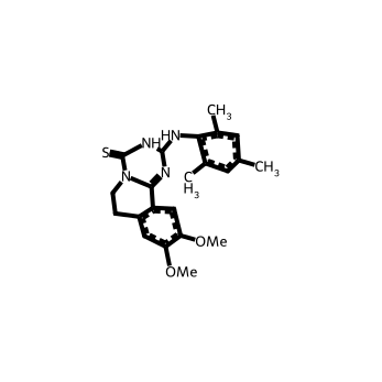 COc1cc2c(cc1OC)C1=NC(Nc3c(C)cc(C)cc3C)NC(=S)N1CC2